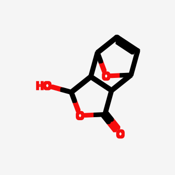 O=C1OC(O)C2C3C=CC(O3)C12